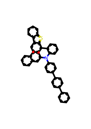 c1ccc(-c2ccc(-c3ccc(N(c4ccc5ccccc5c4)c4ccccc4-c4cccc5c4sc4ccccc45)cc3)cc2)cc1